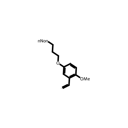 [CH]=Cc1cc(OCCCCCCCCCCCC)[c]cc1OC